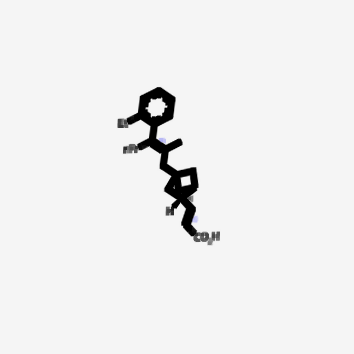 CCC/C(=C(/C)CC12CC(C1)[C@H](/C=C/C(=O)O)C2)c1ccccc1CC